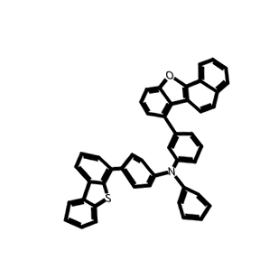 c1ccc(N(c2ccc(-c3cccc4c3sc3ccccc34)cc2)c2cccc(-c3cccc4oc5c6ccccc6ccc5c34)c2)cc1